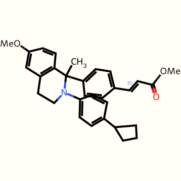 COC(=O)/C=C/c1ccc(C2(C)c3ccc(OC)cc3CCN2c2ccc(C3CCC3)cc2)cc1